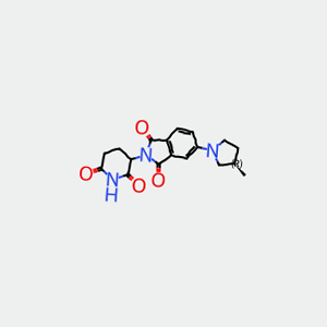 C[C@@H]1CCN(c2ccc3c(c2)C(=O)N(C2CCC(=O)NC2=O)C3=O)C1